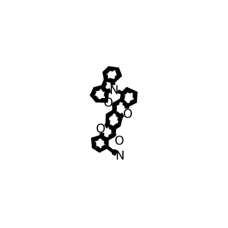 N#Cc1cccc2oc3cc4c(=O)c5c(-n6c7ccccc7c7ccccc76)cccc5oc4cc3c(=O)c12